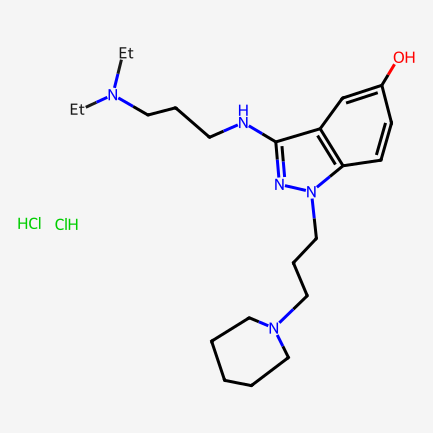 CCN(CC)CCCNc1nn(CCCN2CCCCC2)c2ccc(O)cc12.Cl.Cl